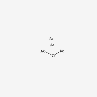 CC(=O)OC(C)=O.[Ar].[Ar]